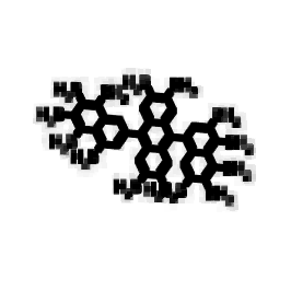 Bc1cc2c(-c3cc(B)c4c(B)c(B)c(B)c(B)c4c3)c3cc(B)c(B)cc3c(-c3cc(B)c(B)c4c(B)c(B)c(B)cc34)c2cc1B